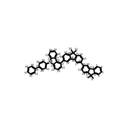 CC1(C)c2ccccc2-c2cc(-c3ccc4c(c3)-c3cc(-c5cccc6c5c5ccccc5n6-c5ccc(-c6ccccc6)cc5)ccc3C4(C)C)ccc21